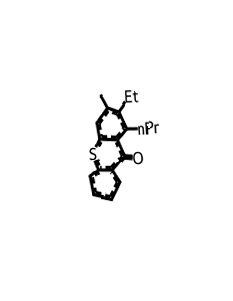 CCCc1c(CC)c(C)cc2sc3ccccc3c(=O)c12